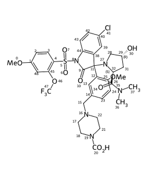 COc1ccc(S(=O)(=O)N2C(=O)C(c3cc(CN4CCN(C(=O)O)CC4)ccc3OC)(N3C[C@H](O)C[C@H]3C(=O)N(C)C)c3cc(Cl)ccc32)c(OC(F)(F)F)c1